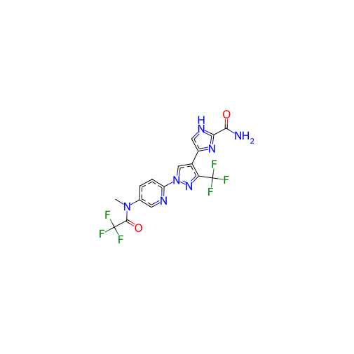 CN(C(=O)C(F)(F)F)c1ccc(-n2cc(-c3c[nH]c(C(N)=O)n3)c(C(F)(F)F)n2)nc1